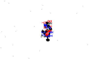 CCNC(=O)c1nnc(-c2cc(C(C)C)c(O)cc2O)n1-c1ccc(C(=O)N2CCC(OC(=O)NCCC(=O)N[C@@H](CCc3ccccc3)C(=O)N[C@@H](CC(C)C)C(=O)N[C@@H](Cc3ccccc3)C(=O)N[C@@H](CC(C)C)C(=O)[C@@]3(C)CO3)CC2)cc1